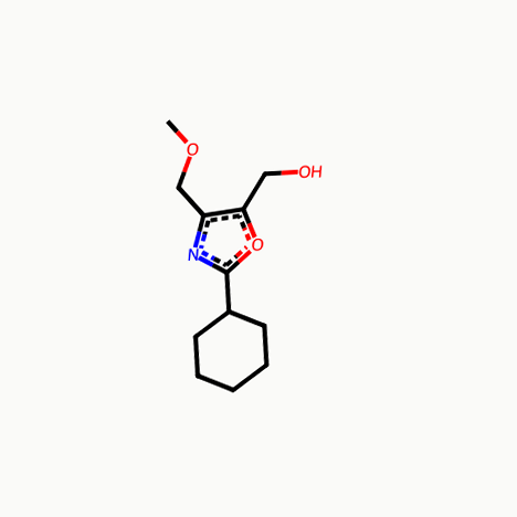 COCc1nc(C2CCCCC2)oc1CO